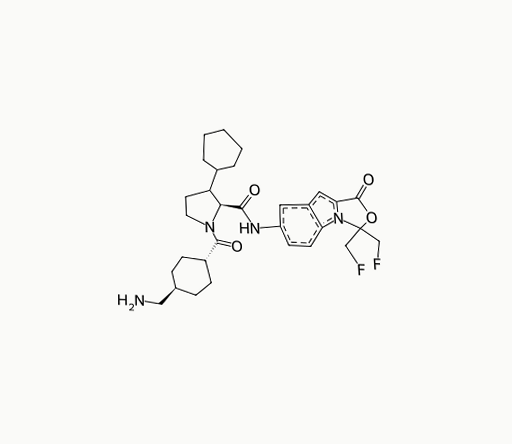 NC[C@H]1CC[C@H](C(=O)N2CCC(C3CCCCC3)[C@H]2C(=O)Nc2ccc3c(c2)cc2n3C(CF)(CF)OC2=O)CC1